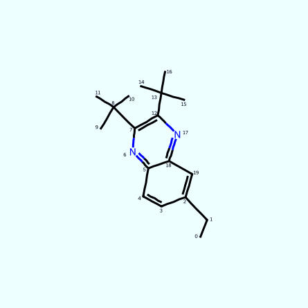 CCc1ccc2nc(C(C)(C)C)c(C(C)(C)C)nc2c1